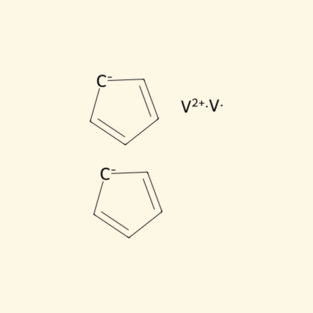 [V+2].[V].c1cc[cH-]c1.c1cc[cH-]c1